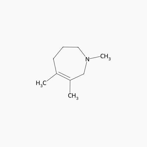 CC1=C(C)CN(C)CCC1